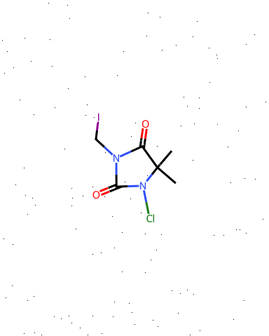 CC1(C)C(=O)N(CI)C(=O)N1Cl